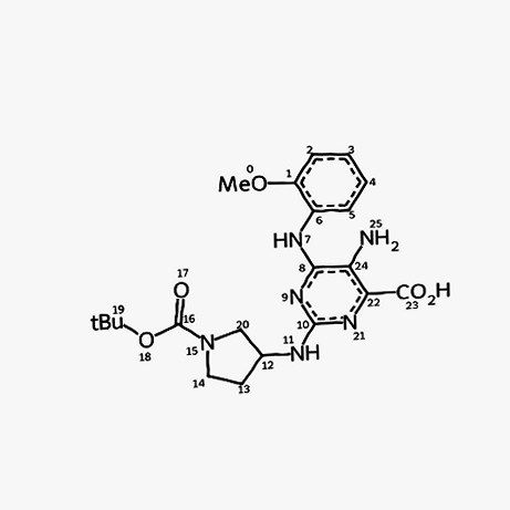 COc1ccccc1Nc1nc(NC2CCN(C(=O)OC(C)(C)C)C2)nc(C(=O)O)c1N